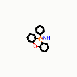 N=P1(c2ccccc2)c2ccccc2Oc2ccccc21